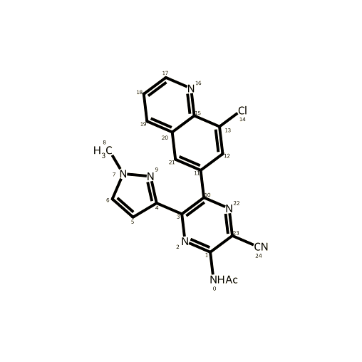 CC(=O)Nc1nc(-c2ccn(C)n2)c(-c2cc(Cl)c3ncccc3c2)nc1C#N